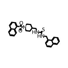 O=S(=O)(c1cccc2ccccc12)N1CCC(CNC(=S)NCc2cccc3ccccc23)CC1